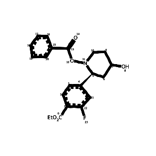 CCOC(=O)c1ccc([C@@H]2CC(O)CCN2OC(=O)c2ccccc2)cc1F